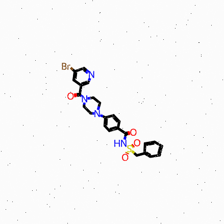 O=C(NS(=O)(=O)Cc1ccccc1)c1ccc(N2CCN(C(=O)c3cncc(Br)c3)CC2)cc1